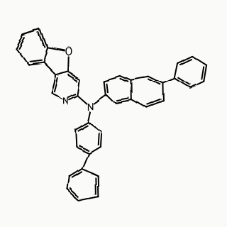 c1ccc(-c2ccc(N(c3ccc4cc(-c5ccccc5)ccc4c3)c3cc4oc5ccccc5c4cn3)cc2)cc1